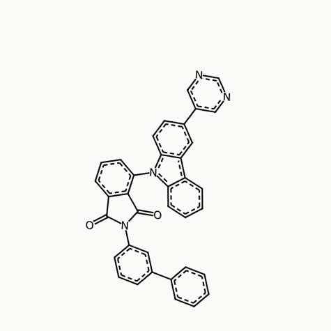 O=C1c2cccc(-n3c4ccccc4c4cc(-c5cncnc5)ccc43)c2C(=O)N1c1cccc(-c2ccccc2)c1